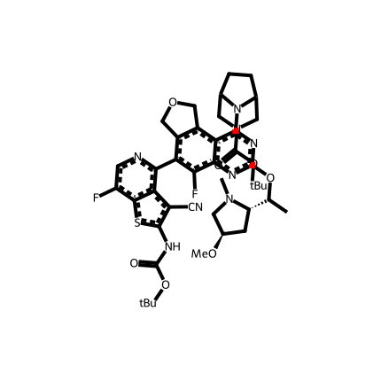 CO[C@@H]1C[C@@H](C(C)Oc2nc(N3C4CCC3CN(C(=O)OC(C)(C)C)C4)c3c4c(c(-c5ncc(F)c6sc(NC(=O)OC(C)(C)C)c(C#N)c56)c(F)c3n2)COC4)N(C)C1